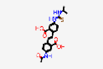 CC(=O)Nc1ccc(C=Cc2ccc(NC(=S)NC(C)C)cc2C(=O)O)c(C(=O)O)c1